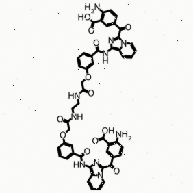 Nc1ccc(C(=O)c2nc(NC(=O)c3cccc(OCC(=O)NCCNC(=O)COc4cccc(C(=O)Nc5nc(C(=O)c6ccc(N)c(C(=O)O)c6)n6ccccc56)c4)c3)c3ccccn23)cc1C(=O)O